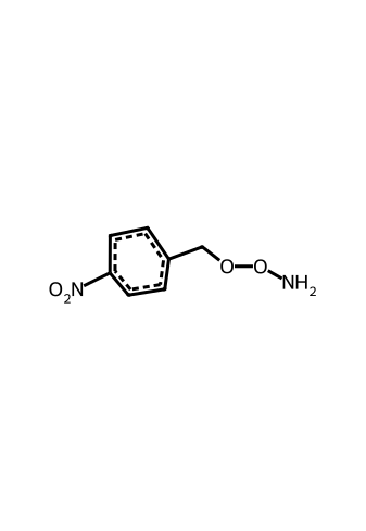 NOOCc1ccc([N+](=O)[O-])cc1